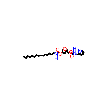 CCCCCCCCCCCCCCCNC(=O)OC1COC(C)(COC(=O)NCc2ccccn2)C1